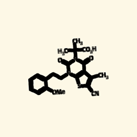 COc1ccccc1CCn1c(=O)n(C(C)(C)C(=O)O)c(=O)c2c(C)c(C#N)sc21